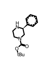 CC(C)(C)OC(=O)N1CCN[C@@H](c2ccccc2)C1